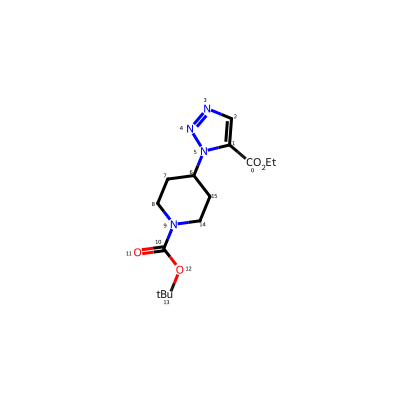 CCOC(=O)c1cnnn1C1CCN(C(=O)OC(C)(C)C)CC1